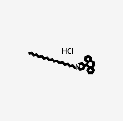 CCCCCCCCCCCCCCCCCCCN1CCC(=C2c3ccccc3C=Cc3ccccc32)CC1.Cl